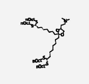 CCCCCCCCSC(CCCCCCCC1(CCCCCCCC(SCCCCCCCC)SCCCCCCCC)OCC(CCN(C)C)O1)SCCCCCCCC